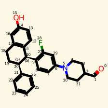 O=CC1CCN(c2ccc([C@@H]3c4ccc(O)cc4CC[C@@H]3c3ccccc3)c(F)c2)CC1